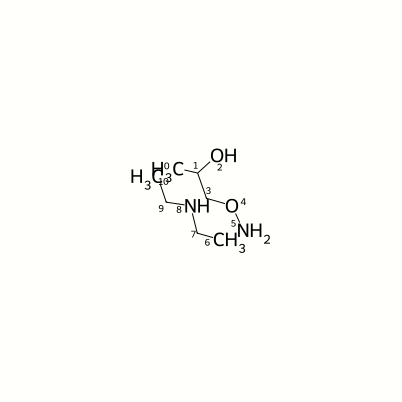 CC(O)CON.CCNCC